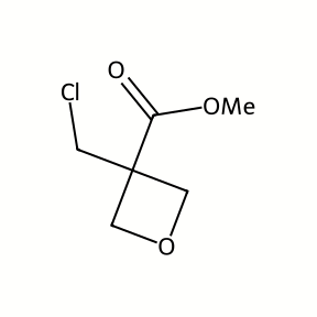 COC(=O)C1(CCl)COC1